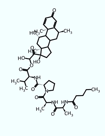 CCCCC(=O)N[C@@H](C)C(=O)N[C@@H](C)C(=O)N1CCC[C@H]1C(=O)N[C@H](C(=O)OC(O)C(=O)[C@@]1(O)CCC2C3C[C@H](C)C4=CC(=O)C=C[C@]4(C)C3[C@@H](O)C[C@@]21C)C(C)C